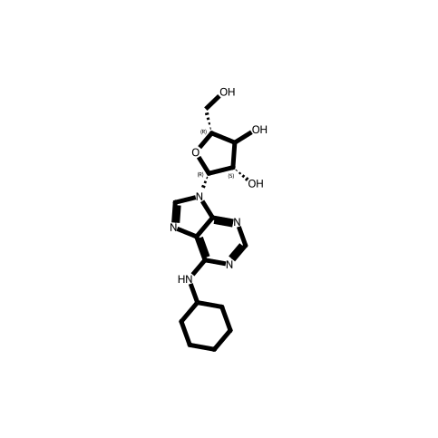 OC[C@H]1O[C@@H](n2cnc3c(NC4CCCCC4)ncnc32)[C@@H](O)C1O